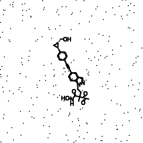 CC(CCn1ncc2cc(C#Cc3ccc([C@H]4C[C@@H]4CO)cc3)ccc21)(C(=O)NO)S(C)(=O)=O